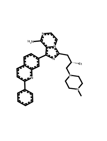 CC[C@@H](Cc1nc(-c2ccc3ccc(-c4ccccc4)nc3c2)c2c(N)nccn12)CN1CCN(C)CC1